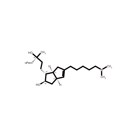 CCCCC[C@@](C)(O)CC[C@@H]1[C@H]2CC(CCCCCN(C)C)=C[C@H]2C[C@H]1O